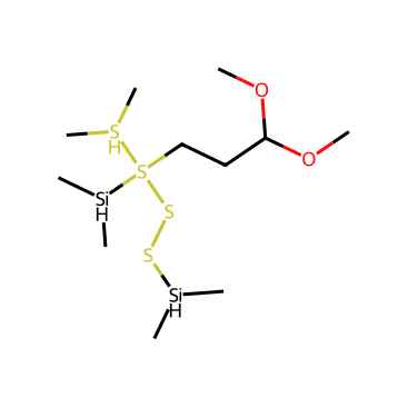 COC(CCS(SS[SiH](C)C)([SiH](C)C)[SH](C)C)OC